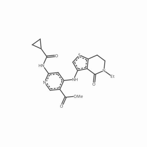 CCN1CCc2scc(Nc3cc(NC(=O)C4CC4)ncc3C(=O)OC)c2C1=O